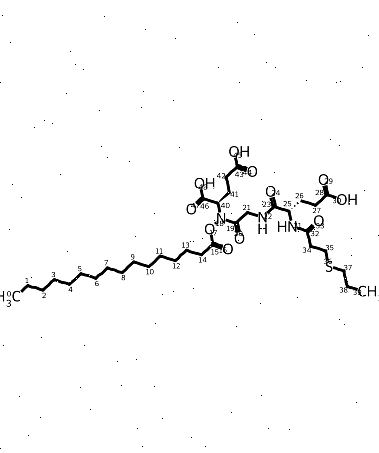 CCCCCCCCCCCCCCCC(=O)ON(C(=O)CNC(=O)[C@H](CCC(=O)O)NC(=O)CCSCCC)[C@H](CCC(=O)O)C(=O)O